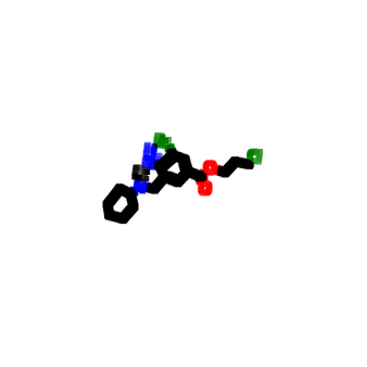 CCN(Cc1cc(C(=O)OCCCCl)cc(Br)c1N)C1CCCCC1